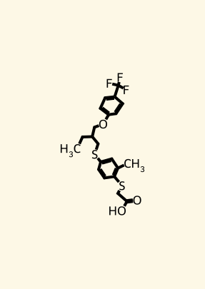 CCC(COc1ccc(C(F)(F)F)cc1)CSc1ccc(SCC(=O)O)c(C)c1